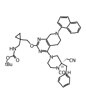 CC(C)(C)OC(=O)NCC1(COc2nc3c(c(N4CCN(C(=O)O)[C@](CC#N)(Cc5ccccc5)C4)n2)CCN(c2cccc4ccccc24)C3)CC1